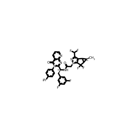 CC(C)c1ccc(-n2c([C@H](Cc3cc(F)cc(F)c3)NC(=O)Cn3nc(C(F)F)c4c3C(F)(F)C3C4[C@H]3C)nc3ncccc3c2=O)cc1